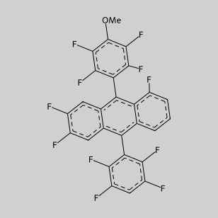 COc1c(F)c(F)c(-c2c3cc(F)c(F)cc3c(-c3c(F)c(F)cc(F)c3F)c3cccc(F)c23)c(F)c1F